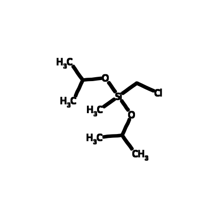 CC(C)O[Si](C)(CCl)OC(C)C